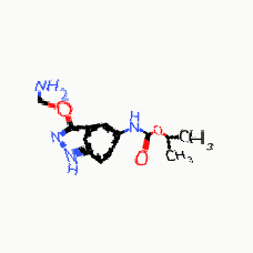 CC(C)OC(=O)Nc1ccc2[nH]nc(OCN)c2c1